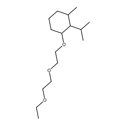 CCOCCOCCOC1CCCC(C)C1C(C)C